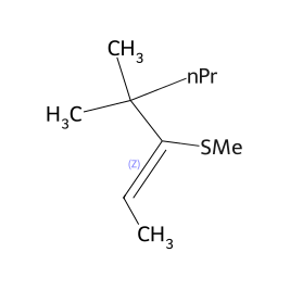 C/C=C(\SC)C(C)(C)CCC